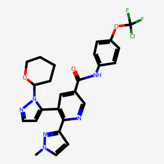 Cn1ccc(-c2ncc(C(=O)Nc3ccc(OC(F)(F)Cl)cc3)cc2-c2ccnn2C2CCCCO2)n1